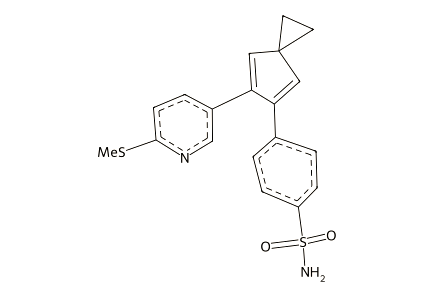 CSc1ccc(C2=CC3(C=C2c2ccc(S(N)(=O)=O)cc2)CC3)cn1